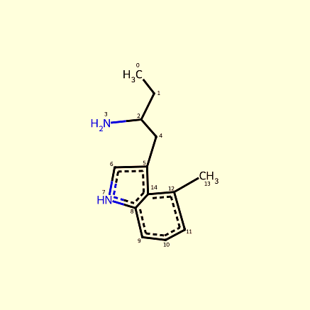 CCC(N)Cc1c[nH]c2cccc(C)c12